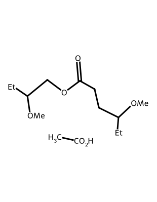 CC(=O)O.CCC(CCC(=O)OCC(CC)OC)OC